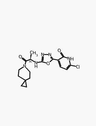 C[C@@H](Nc1nnc(-c2ccc(Cl)[nH]c2=O)o1)C(=O)N1CCC2(CC1)CC2